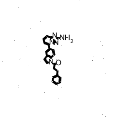 Nc1nc2cccc(-c3ccc4c(ccn4C(=O)CCc4ccccc4)c3)n2n1